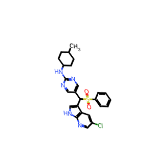 CC1CCC(Nc2ncc(C(c3c[nH]c4ncc(Cl)cc34)S(=O)(=O)c3ccccc3)cn2)CC1